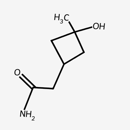 CC1(O)CC(CC(N)=O)C1